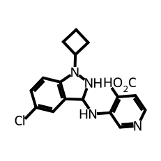 O=C(O)c1ccncc1NC1NN(C2CCC2)c2ccc(Cl)cc21